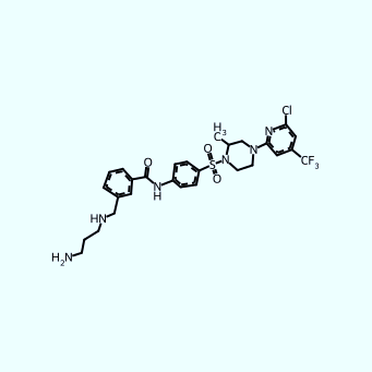 CC1CN(c2cc(C(F)(F)F)cc(Cl)n2)CCN1S(=O)(=O)c1ccc(NC(=O)c2cccc(CNCCCN)c2)cc1